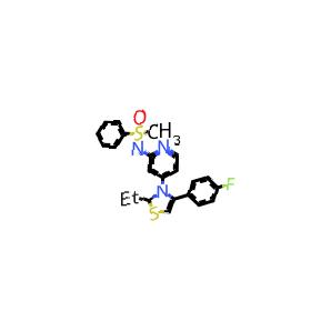 CCC1SC=C(c2ccc(F)cc2)N1c1ccnc(N=S(C)(=O)c2ccccc2)c1